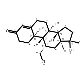 C[C@]1(O)CC[C@H]2[C@@H]3CCC4=CC(=O)CC[C@@H]4[C@H]3[C@@H](CCl)C[C@@]21C